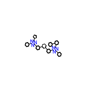 C1=CC=C(c2nc(-c3ccccc3)nc(-c3cccc(C4=CC(c5cccc(-c6nc(-c7ccccc7)nc(-c7ccccc7-c7ccccc7)n6)c5)=CCC4)c3)n2)C=1